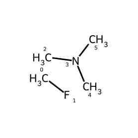 CF.CN(C)C